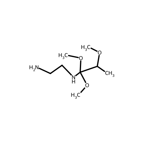 COC(C)C(NCCN)(OC)OC